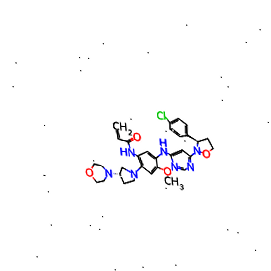 C=CC(=O)Nc1cc(Nc2cc(N3OCC[C@@H]3c3ccc(Cl)cc3)ncn2)c(OC)cc1N1CC[C@H](N2CCOCC2)C1